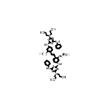 O=S(=O)(O)c1cc(Nc2nc(Nc3ccccc3)nc(N(CCO)CCO)n2)ccc1C=Cc1ccc(Nc2nc(Nc3ccccc3)nc(N(CCO)CCO)n2)cc1SOOO